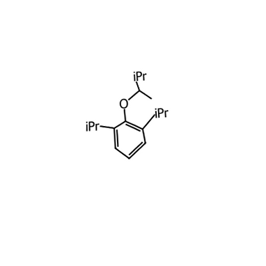 CC(C)c1cccc(C(C)C)c1OC(C)C(C)C